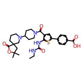 CCNC(=O)Nc1sc(-c2ccc(C(=O)O)cc2)cc1C(=O)N1CCC(N2CCCC3(C2)CC(C)(C)OC3=O)CC1